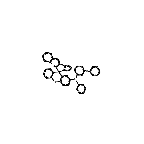 c1ccc(-c2cccc(N(c3ccccc3)c3ccc4c(c3)C3(c5ccccc5O4)c4ccccc4-c4cc5ccccc5cc43)c2)cc1